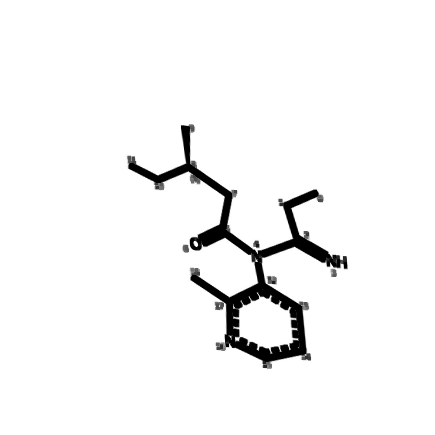 CCC(=N)N(C(=O)C[C@H](C)CC)c1cccnc1C